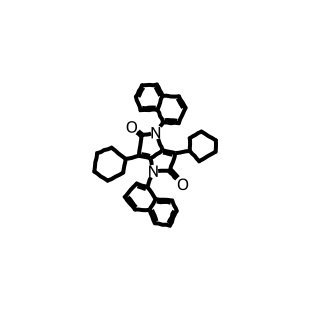 O=C1C(C2CCCCC2)=C2C(=C(C3CCCCC3)C(=O)N2c2cccc3ccccc23)N1c1cccc2ccccc12